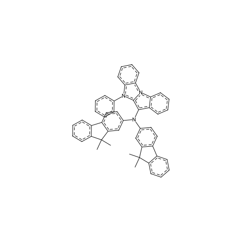 CC1(C)c2ccccc2-c2ccc(N(c3ccc4c(c3)C(C)(C)c3ccccc3-4)c3c4ccccc4n4c5ccccc5n(-c5ccccc5)c34)cc21